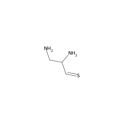 NCC(N)C=S